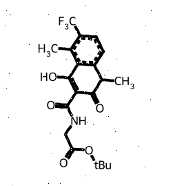 Cc1c(C(F)(F)F)ccc2c1C(O)=C(C(=O)NCC(=O)OC(C)(C)C)C(=O)C2C